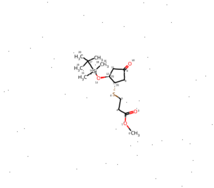 COC(=O)CCS[C@H]1CC(=O)C[C@@H]1O[Si](C)(C)C(C)(C)C